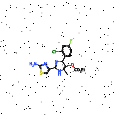 CCOC(=O)OC1=C(C)NC(c2csc(N)n2)=NC1c1ccc(F)cc1Cl